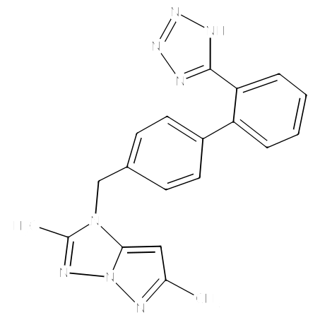 Cc1cc2n(Cc3ccc(-c4ccccc4-c4nnn[nH]4)cc3)c(C)nn2n1